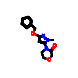 Cn1nc(OCc2ccccc2)cc1N1CCOCC1=O